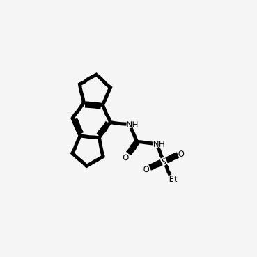 CCS(=O)(=O)NC(=O)Nc1c2c(cc3c1CCC3)CCC2